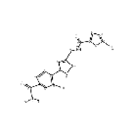 CN(C)C(=N)c1ccc(C2C=C(CNC(=O)c3ccc(Cl)s3)ON2)c(F)c1